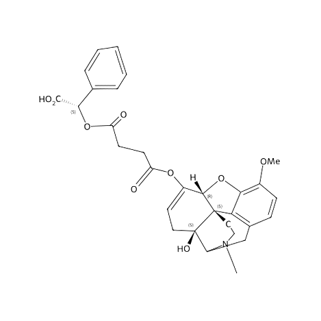 COc1ccc2c3c1O[C@H]1C(OC(=O)CCC(=O)O[C@H](C(=O)O)c4ccccc4)=CC[C@@]4(O)C(C2)N(C)CC[C@]314